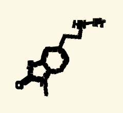 CC(C)NCCc1ccc2c(c1)sc(=O)n2C